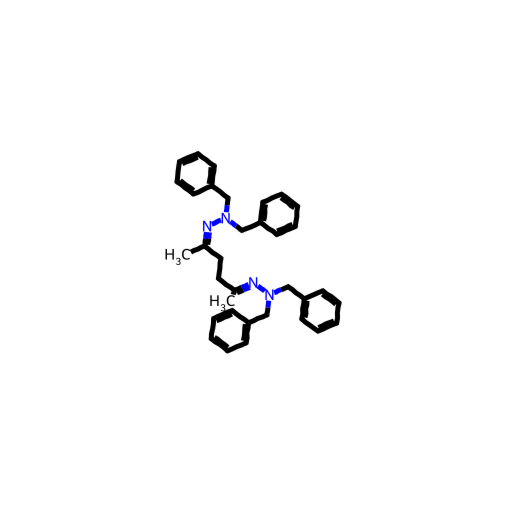 CC(CCC(C)=NN(Cc1ccccc1)Cc1ccccc1)=NN(Cc1ccccc1)Cc1ccccc1